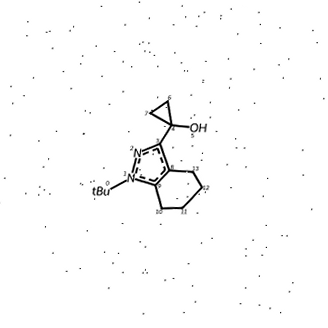 CC(C)(C)n1nc(C2(O)CC2)c2c1CCCC2